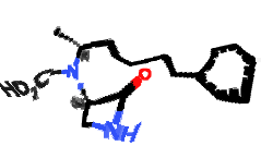 C[C@H](CCCCc1ccccc1)N(C(=O)O)[C@H]1CNC1=O